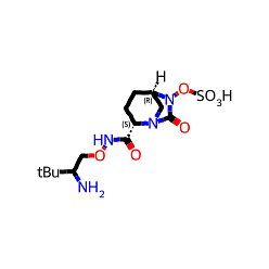 CC(C)(C)C(N)CONC(=O)[C@@H]1CC[C@@H]2CN1C(=O)N2OS(=O)(=O)O